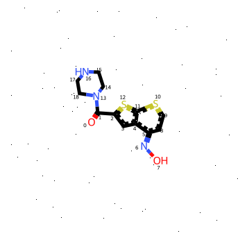 O=C(c1cc2c(=NO)ccsc2s1)N1CCNCC1